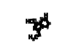 CCc1nnc2n1CCNC2.Cl